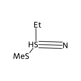 CC[SH](#N)SC